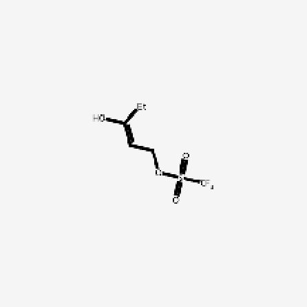 CC/C(O)=C\COS(=O)(=O)C(F)(F)F